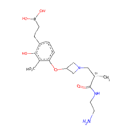 C[C@@H](CN1CC(Oc2ccc(CCB(O)O)c(O)c2C(=O)O)C1)C(=O)NCCN